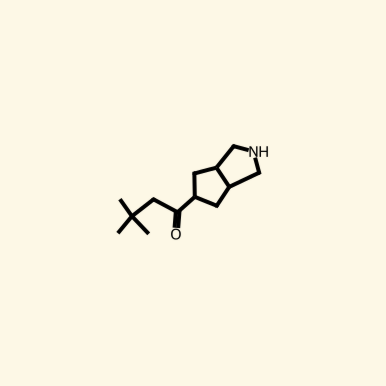 CC(C)(C)CC(=O)C1CC2CNCC2C1